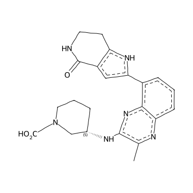 Cc1nc2cccc(-c3cc4c([nH]3)CCNC4=O)c2nc1N[C@H]1CCCN(C(=O)O)C1